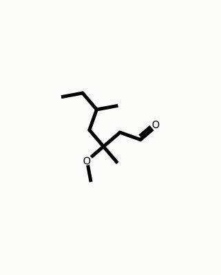 CCC(C)CC(C)(CC=O)OC